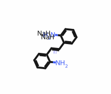 Nc1ccccc1/C=C/c1ccccc1N.[NaH].[NaH]